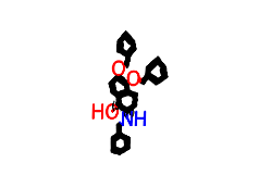 O[C@H]1c2ccc(OCc3ccccc3)c(OCc3ccccc3)c2CC[C@H]1NCc1ccccc1